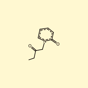 CCC(=O)Cn1ccccc1=O